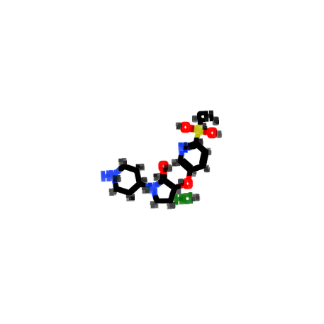 CS(=O)(=O)c1ccc(OC2CCN(C3CCNCC3)C2=O)cn1.Cl